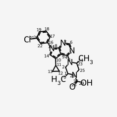 CC1CN(c2ncnc3c2c(C2CC2)cn3-c2cccc(Cl)c2)C(C)CN1C(=O)O